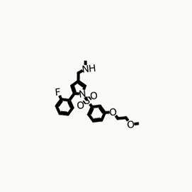 CNCc1cc(-c2ccccc2F)n(S(=O)(=O)c2cccc(OCCOC)c2)c1